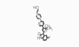 CC1(C)O/C(=C2/C(=O)Nc3ccc(F)cc32)C=C1c1ccc(N2CCN(CCO)CC2)nc1